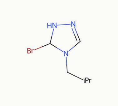 CC(C)CN1C=NNC1Br